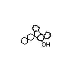 Oc1cc2c(c3ccccc13)-c1ccccc1C21CCC2(CCCCC2)CC1